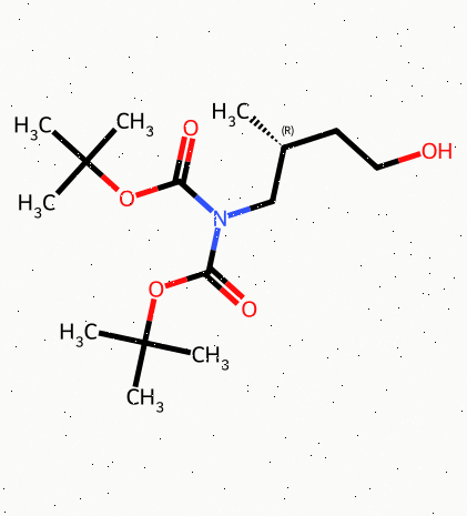 C[C@H](CCO)CN(C(=O)OC(C)(C)C)C(=O)OC(C)(C)C